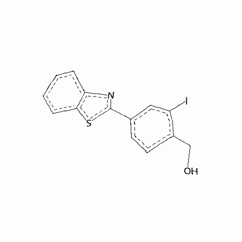 OCc1ccc(-c2nc3ccccc3s2)cc1I